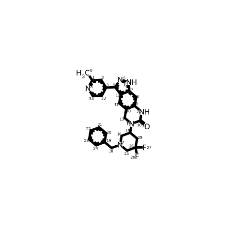 Cc1cc(-c2n[nH]c3cc4c(cc23)CN(C2CN(Cc3ccccc3)CC(F)(F)C2)C(=O)N4)ccn1